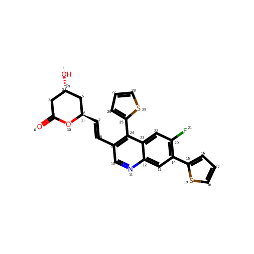 O=C1C[C@H](O)C[C@@H](C=Cc2cnc3cc(-c4cccs4)c(F)cc3c2-c2cccs2)O1